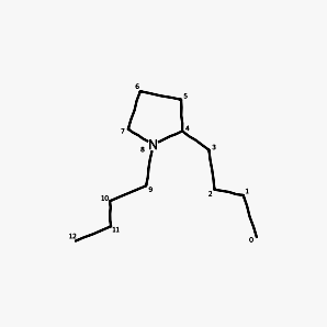 CCCCC1CCCN1CCCC